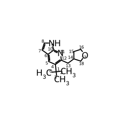 CC(C)(C)c1cc2cc[nH]c2nc1CC1CCOC1